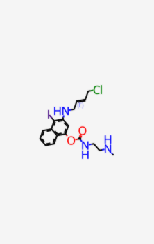 CNCCNC(=O)Oc1cc(NC/C=C/CCl)c(I)c2ccccc12